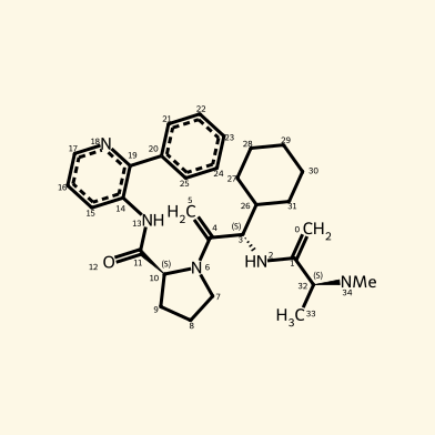 C=C(N[C@H](C(=C)N1CCC[C@H]1C(=O)Nc1cccnc1-c1ccccc1)C1CCCCC1)[C@H](C)NC